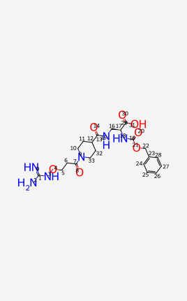 N=C(N)NOCCC(=O)N1CCC(C(=O)NC[C@H](NC(=O)OCc2ccccc2)C(=O)O)CC1